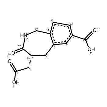 O=C(O)C[C@H]1Cc2cc(C(=O)O)ccc2CNC1=O